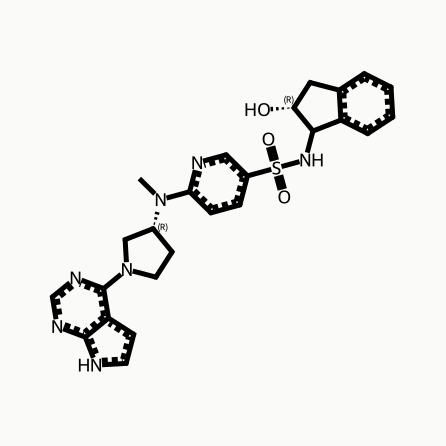 CN(c1ccc(S(=O)(=O)NC2c3ccccc3C[C@H]2O)cn1)[C@@H]1CCN(c2ncnc3[nH]ccc23)C1